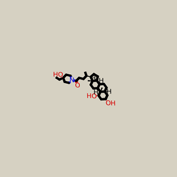 CCC1(O)CCN(C(=O)CCC(C)[C@H]2CC[C@H]3[C@@H]4CC[C@H]5C[C@@H](O)C[C@H](O)[C@]5(C)[C@H]4CC[C@]23C)CC1